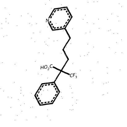 O=C(O)C(CCCc1cccnc1)(c1ccccc1)C(F)(F)F